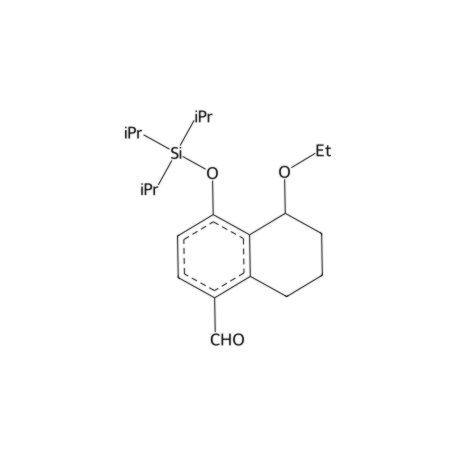 CCOC1CCCc2c(C=O)ccc(O[Si](C(C)C)(C(C)C)C(C)C)c21